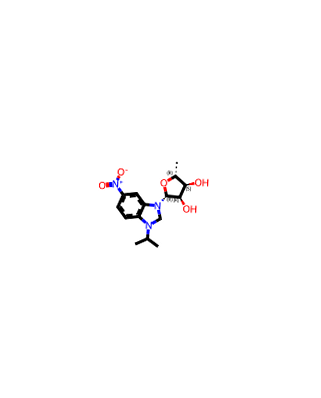 CC(C)N1CN([C@@H]2O[C@H](C)[C@@H](O)[C@H]2O)c2cc([N+](=O)[O-])ccc21